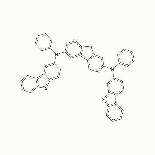 c1ccc(N(c2ccc3c(c2)sc2ccccc23)c2ccc3c(c2)sc2ccc(N(c4ccccc4)c4ccc5sc6ccccc6c5c4)cc23)cc1